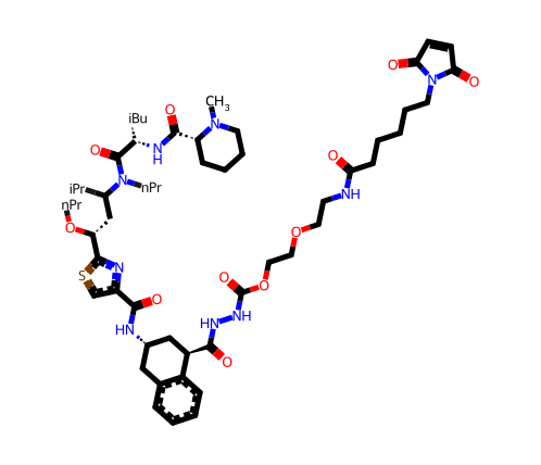 CCCO[C@H](CC(C(C)C)N(CCC)C(=O)[C@@H](NC(=O)[C@H]1CCCCN1C)[C@@H](C)CC)c1nc(C(=O)N[C@H]2Cc3ccccc3[C@H](C(=O)NNC(=O)OCCOCCNC(=O)CCCCCN3C(=O)C=CC3=O)C2)cs1